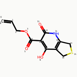 C=CCOC(=O)c1c(O)c2c([nH]c1=O)CSC2